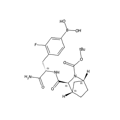 CC(C)(C)OC(=O)N1[C@@H]2CC[C@@H](C2)[C@H]1C(=O)N[C@@H](Cc1ccc(B(O)O)cc1F)C(N)=O